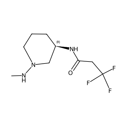 CNN1CCC[C@@H](NC(=O)CC(F)(F)F)C1